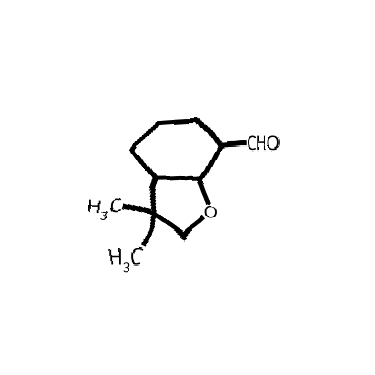 CC1(C)COC2C(C=O)CCCC21